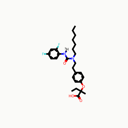 [3H]N(C(=O)N(CCCCCCC)CCc1ccc(OC(C)(CC)C(=O)O)cc1)c1ccc(F)cc1F